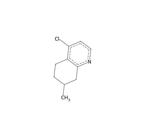 CC1CCc2c(Cl)ccnc2C1